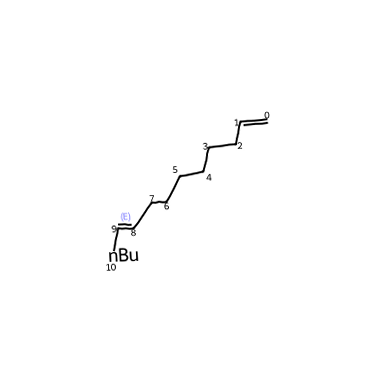 C=CCCCCCC/C=C/CCCC